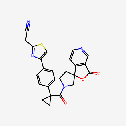 N#CCc1nc(-c2ccc(C3(C(=O)N4CCC5(C4)OC(=O)c4cnccc45)CC3)cc2)cs1